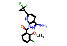 COc1c(F)cccc1C(=O)n1nc(N)c2ccc(C3CC3(F)F)nc21